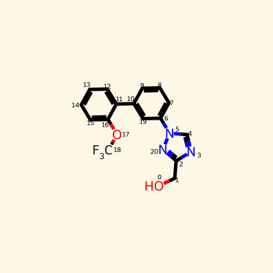 OCc1ncn(-c2cccc(-c3ccccc3OC(F)(F)F)c2)n1